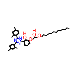 CCCCCCCCCCCCCOCC(O)COc1cccc(-c2nc(-c3ccc(C)cc3C)nc(-c3ccc(C)cc3C)n2)c1O